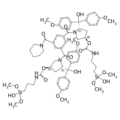 COc1ccc(C(O)(c2ccc(OC)cc2)[C@@H]2C[C@@H](OC(=O)NCCC[Si](O)(OC)OC)CN2C(=O)c2cc(C(=O)N3CCCCC3)cc(C(=O)N3C[C@H](OC(=O)NCCC[Si](O)(OC)OC)C[C@H]3C(O)(c3ccc(OC)cc3)c3ccc(OC)cc3)c2)cc1